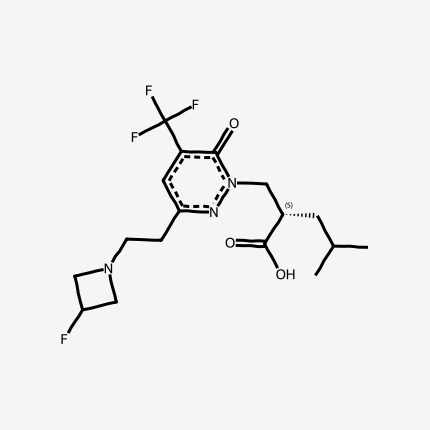 CC(C)C[C@@H](Cn1nc(CCN2CC(F)C2)cc(C(F)(F)F)c1=O)C(=O)O